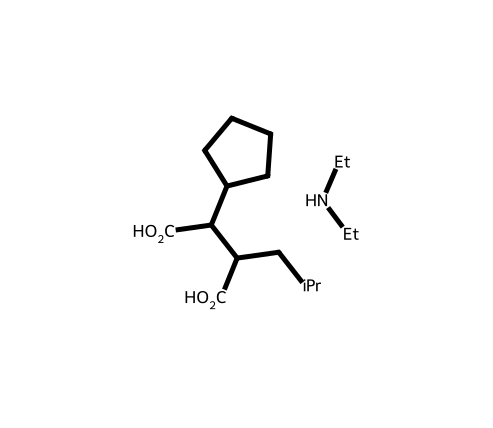 CC(C)CC(C(=O)O)C(C(=O)O)C1CCCC1.CCNCC